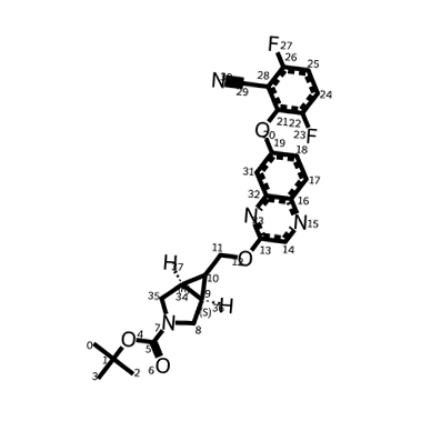 CC(C)(C)OC(=O)N1C[C@@H]2C(COc3cnc4ccc(Oc5c(F)ccc(F)c5C#N)cc4n3)[C@@H]2C1